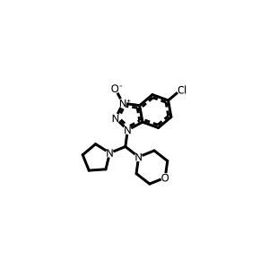 [O-][n+]1nn(C(N2CCCC2)N2CCOCC2)c2ccc(Cl)cc21